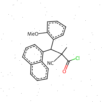 COc1ccccc1C(c1cccc2ccccc12)C(C)(C#N)C(=O)Cl